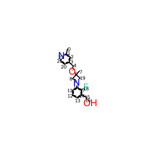 Cc1cc(COC2(C)CN(c3cccc(CO)c3F)C2)ccn1